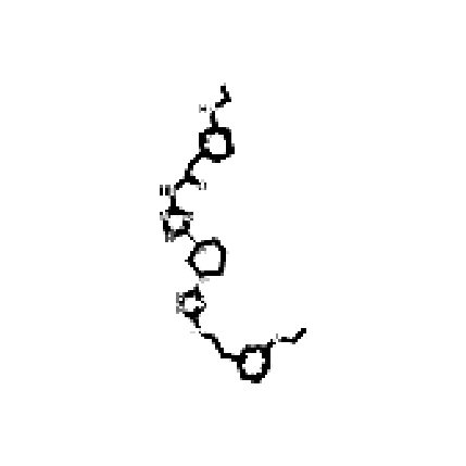 CCNc1cccc(CCNc2nnc([C@H]3CCC[C@H](c4nnc(NC(=O)Cc5cccc(NCC)c5)s4)C3)s2)c1